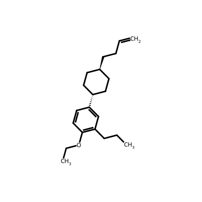 C=CCC[C@H]1CC[C@H](c2ccc(OCC)c(CCC)c2)CC1